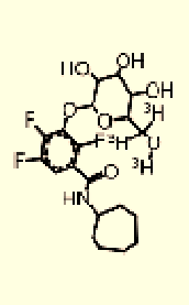 [3H]OC([3H])([3H])C1OC(Oc2c(F)c(F)cc(C(=O)NC3CCCCCC3)c2F)C(O)C(O)C1O